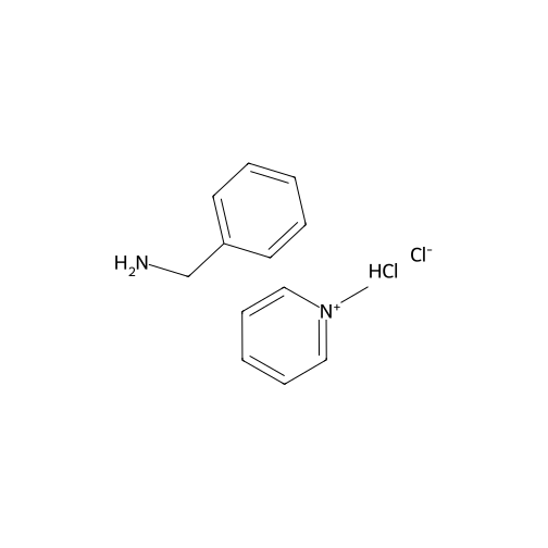 C[n+]1ccccc1.Cl.NCc1ccccc1.[Cl-]